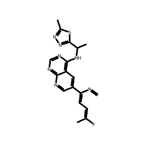 C=N/C(=C\C=C(/C)F)c1cnc2ncnc(NC(C)c3nnc(C)s3)c2c1